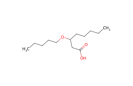 CCCCCOC(CCCCC)CC(=O)O